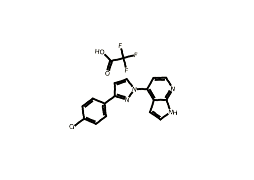 Clc1ccc(-c2ccn(-c3ccnc4[nH]ccc34)n2)cc1.O=C(O)C(F)(F)F